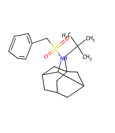 CC(C)(C)CC12CC3CC(C1)C(NS(=O)(=O)Cc1ccccc1)C(C3)C2